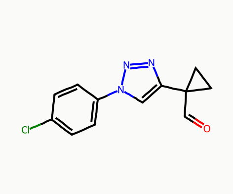 O=CC1(c2cn(-c3ccc(Cl)cc3)nn2)CC1